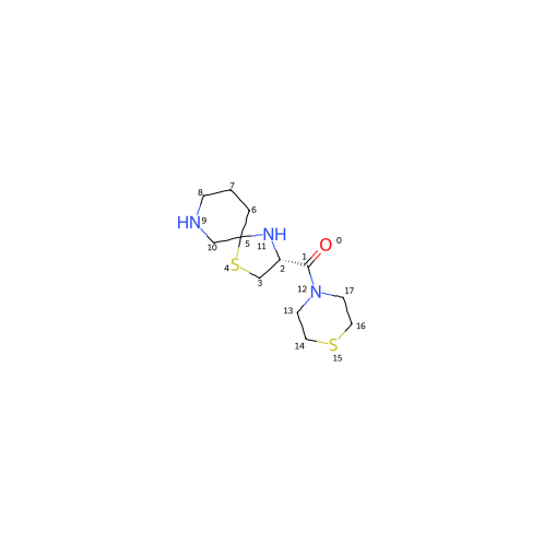 O=C([C@@H]1CSC2(CCCNC2)N1)N1CCSCC1